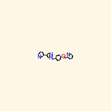 c1ccc(COc2ccc(Cn3cc(-c4cccnc4)cn3)cc2)nc1